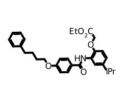 CCOC(=O)COc1ccc(C(C)C)cc1NC(=O)c1ccc(OCCCCc2ccccc2)cc1